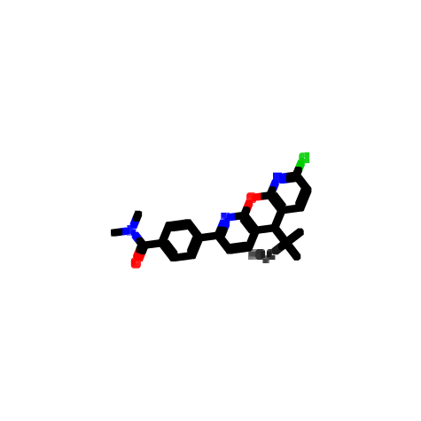 CN(C)C(=O)c1ccc(-c2ccc3c(n2)Oc2nc(Cl)ccc2C3C(C)(C)C(=O)O)cc1